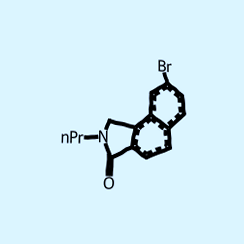 CCCN1Cc2c(ccc3ccc(Br)cc23)C1=O